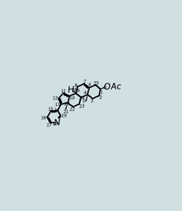 CC(=O)O[C@H]1CC[C@@]2(C)C(=CC[C@H]3C4=CC=C(c5cccnc5)[C@@]4(C)CCC32)C1